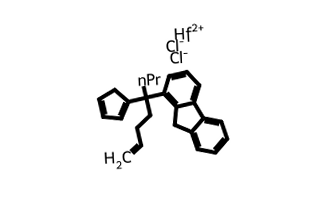 C=CCCC(CCC)(C1=CC=CC1)c1cccc2c1Cc1ccccc1-2.[Cl-].[Cl-].[Hf+2]